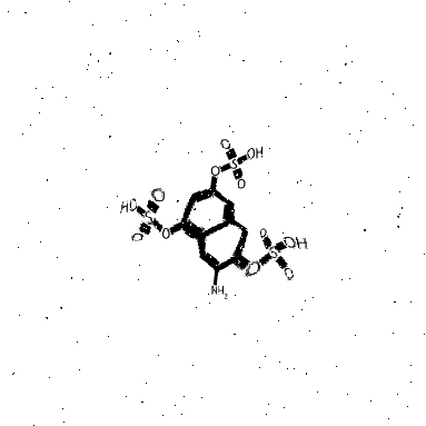 Nc1cc2c(OS(=O)(=O)O)cc(OS(=O)(=O)O)cc2cc1OS(=O)(=O)O